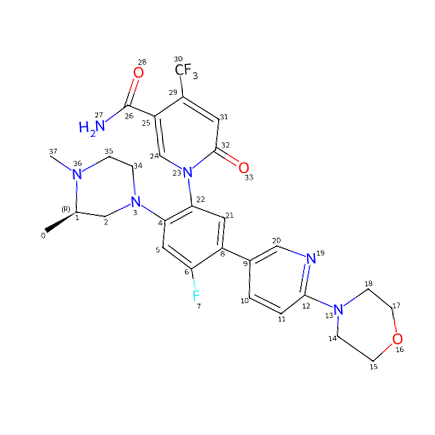 C[C@@H]1CN(c2cc(F)c(-c3ccc(N4CCOCC4)nc3)cc2-n2cc(C(N)=O)c(C(F)(F)F)cc2=O)CCN1C